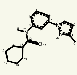 Cc1ccn(-c2cccc(N(C)C(=O)C3CCCCC3)c2)n1